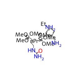 CCC[Si](OC)(OC)OC.CCN.CO[Si](CCCNC(N)=O)(OC)OC.NCc1ccccc1